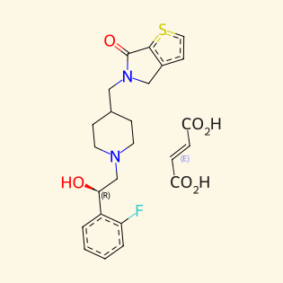 O=C(O)/C=C/C(=O)O.O=C1c2sccc2CN1CC1CCN(C[C@H](O)c2ccccc2F)CC1